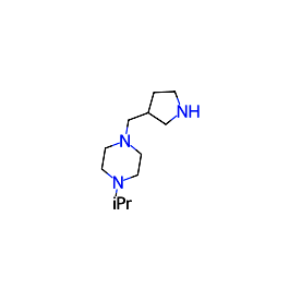 CC(C)N1CCN(CC2CCNC2)CC1